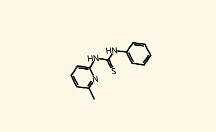 Cc1cccc(NC(=S)Nc2ccccc2)n1